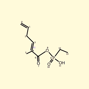 C=CC/C=C(\C)C(=O)OP(=O)(O)CC